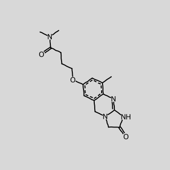 Cc1cc(OCCCC(=O)N(C)C)cc2c1N=C1NC(=O)CN1C2